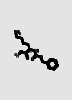 [2H]OC(=O)[C@@H](CCCCN)NC(=O)OCc1ccccc1